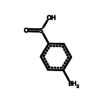 Bc1ccc(S(=O)O)cc1